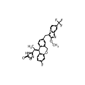 COc1nc2cc(C(F)(F)F)ccn2c1Cc1ccc2c(c1)COc1cc(F)ccc1C2=C(C)c1noc(=O)[nH]1